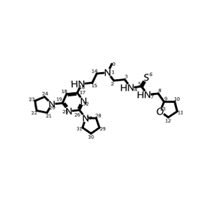 CN(CCNC(=S)NCC1CCCO1)CCNc1cc(N2CCCC2)nc(N2CCCC2)n1